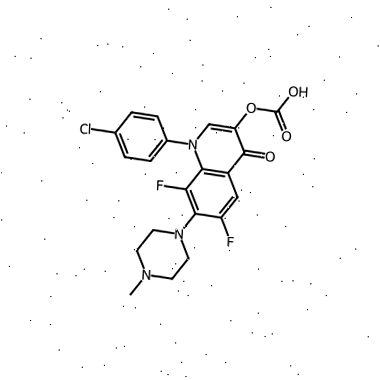 CN1CCN(c2c(F)cc3c(=O)c(OC(=O)O)cn(-c4ccc(Cl)cc4)c3c2F)CC1